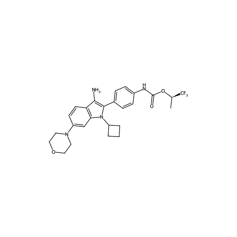 C[C@@H](OC(=O)Nc1ccc(-c2c(N)c3ccc(N4CCOCC4)cc3n2C2CCC2)cc1)C(F)(F)F